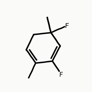 CC1=CCC(C)(F)C=C1F